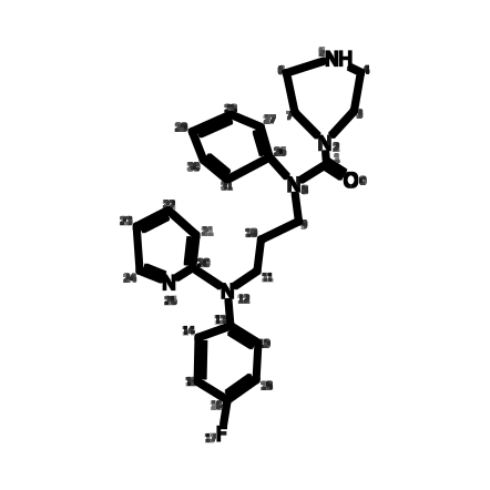 O=C(N1CCNCC1)N(CCCN(c1ccc(F)cc1)c1ccccn1)c1ccccc1